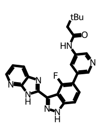 CC(C)(C)CC(=O)Nc1cncc(-c2ccc3[nH]nc(-c4nc5cccnc5[nH]4)c3c2F)c1